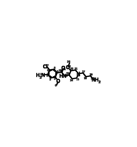 COc1cc(N)c(Cl)cc1C(=O)NC1CCN(CCCN)CC1OC